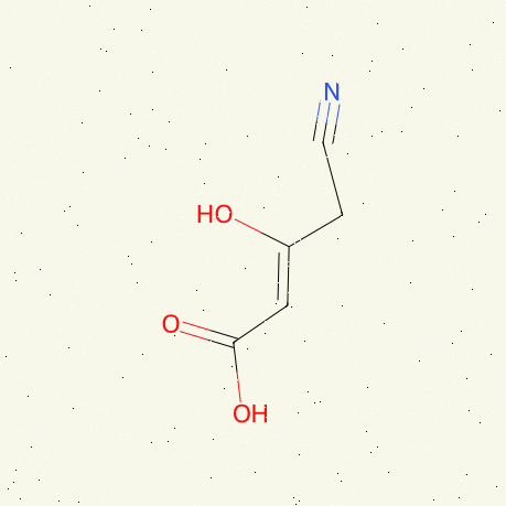 N#CC/C(O)=C/C(=O)O